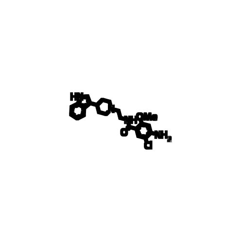 COc1cc(N)c(Cl)cc1C(=O)NCCN1CCC(c2c[nH]c3ccccc23)CC1